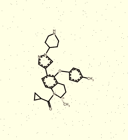 Cc1ccc(Oc2c(-c3cnn(C4CCNCC4)c3)ccc3c2CC[C@H](C)N3C(=O)C2CC2)cc1